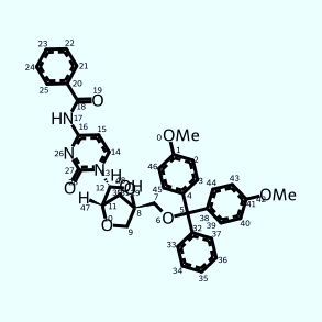 COc1ccc(C(OC[C@]23CO[C@H]([C@H](n4ccc(NC(=O)c5ccccc5)nc4=O)O2)[C@H]3O)(c2ccccc2)c2ccc(OC)cc2)cc1